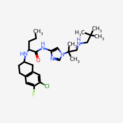 CCCC(NC1CCc2cc(F)c(Cl)cc2C1)C(=O)Nc1cn(C(C)(C)CNCC(C)(C)C)cn1